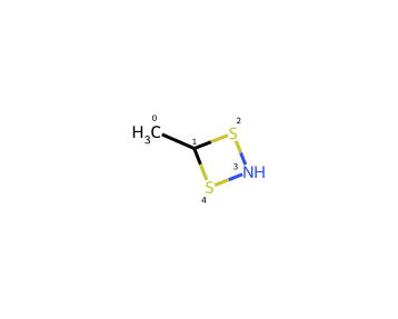 CC1SNS1